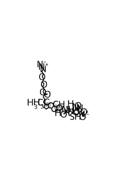 CC(CCC(=O)OCCOCCOCCN=[N+]=[N-])C1CCC2C3CC[C@@H]4C[C@H](NC(=O)C(CS)Nc5ccc([N+](=O)[O-])c6nonc56)CC[C@]4(C)C3CC[C@]12C